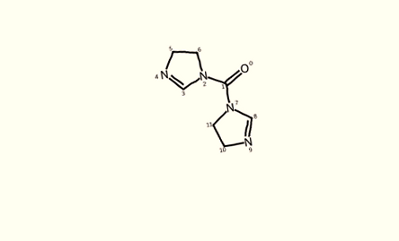 O=C(N1C=NCC1)N1C=NCC1